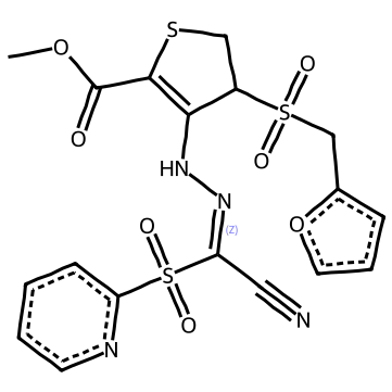 COC(=O)C1=C(N/N=C(/C#N)S(=O)(=O)c2ccccn2)C(S(=O)(=O)Cc2ccco2)CS1